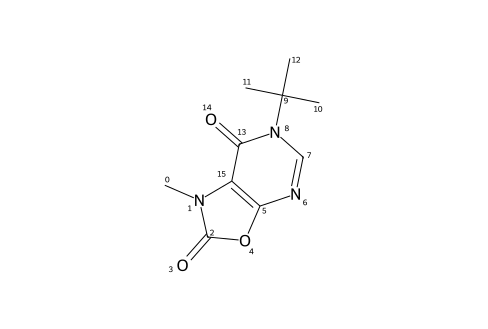 Cn1c(=O)oc2ncn(C(C)(C)C)c(=O)c21